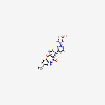 Cc1ccc2c(c1)NC(=O)c1cc(-c3ccnc(N4CCC(O)C4)c3)ccc1O2